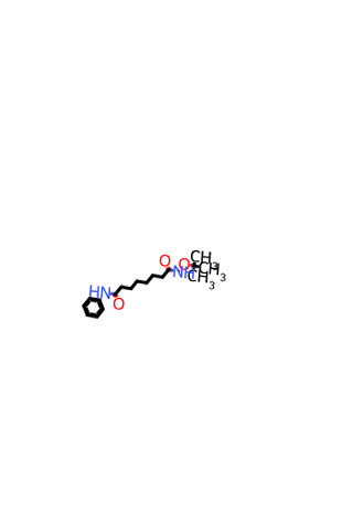 CC(C)(C)ONC(=O)CCCCCCC(=O)Nc1ccccc1